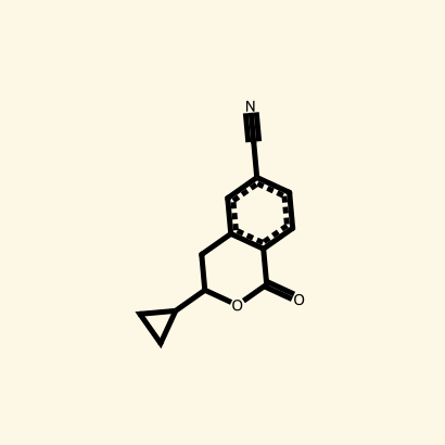 N#Cc1ccc2c(c1)CC(C1CC1)OC2=O